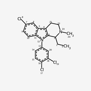 CCC1c2c(c3cc(Cl)ccc3n2-c2ccc(Cl)c(Cl)c2)CCN1C